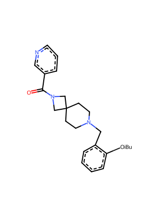 CC(C)COc1ccccc1CN1CCC2(CC1)CN(C(=O)c1cccnc1)C2